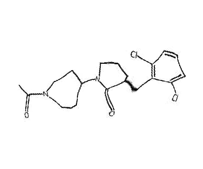 CC(=O)N1CCC(N2CCC(Cc3c(Cl)cccc3Cl)C2=O)CC1